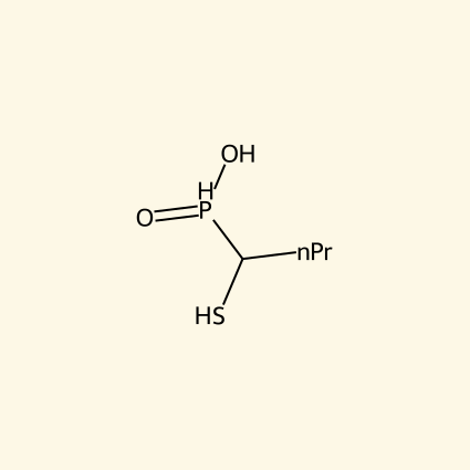 CCCC(S)[PH](=O)O